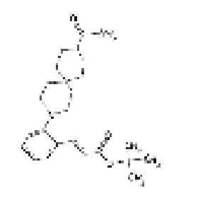 CC(C)(C)OC(=O)C=Cc1ccccc1N1CCC2(CCC(C(N)=O)CC2)CC1